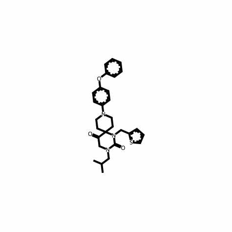 CC(C)CN1CC(=O)C2(CCN(c3ccc(Oc4ccccc4)cc3)CC2)N(Cc2cccs2)C1=O